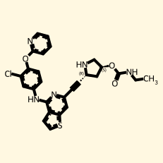 CCNC(=O)O[C@@H]1CN[C@@H](C#Cc2cc3sccc3c(Nc3ccc(Oc4ccccn4)c(Cl)c3)n2)C1